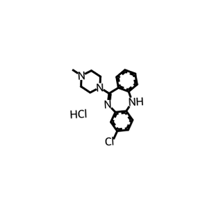 CN1CCN(C2=Nc3cc(Cl)ccc3Nc3ccccc32)CC1.Cl